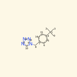 CC(C)(C)c1ccc(Cn2cnnn2)cc1